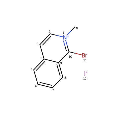 C[n+]1ccc2ccccc2c1Br.[I-]